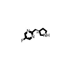 Fc1cnc(C[C@H]2CCNC2)nc1